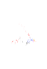 C=C(C)[C@@H]1CC[C@]2(NC[C@H]([C@@H](C)OC(=O)COCCOCCOCCOC)N3CCS(=O)(=O)CC3)CC[C@]3(C)[C@H](CC[C@@H]4[C@@]5(C)CC[C@H](OC(=O)CC(C)(C)C(=O)O)C(C)(C)[C@@H]5CC[C@]43C)[C@@H]12